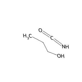 CCCO.N=C=O